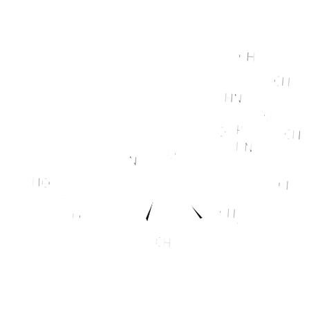 C=C[C@@H]1[C@H](C=C)[C@@H](COP(=O)(NC(C)C)NC(C)C)O[C@H]1N1C=CCC(C(=O)O)=C1